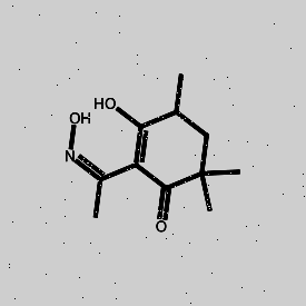 C/C(=N/O)C1=C(O)C(C)CC(C)(C)C1=O